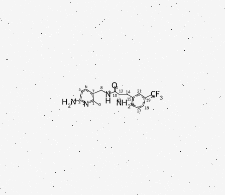 Cc1nc(N)ccc1CNC(=O)[C@@H](N)Cc1cccc(C(F)(F)F)c1